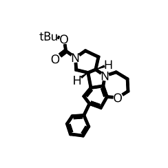 CC(C)(C)OC(=O)N1CC[C@H]2[C@@H](C1)c1cc(-c3ccccc3)cc3c1N2CCCO3